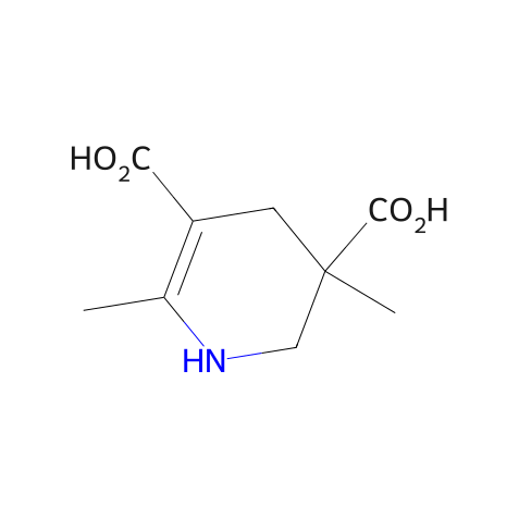 CC1=C(C(=O)O)CC(C)(C(=O)O)CN1